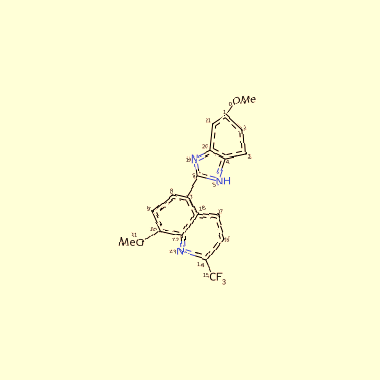 COc1ccc2[nH]c(-c3ccc(OC)c4nc(C(F)(F)F)ccc34)nc2c1